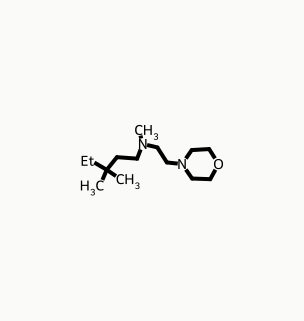 CCC(C)(C)CCN(C)CCN1CCOCC1